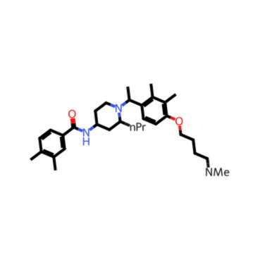 CCCC1CC(NC(=O)c2ccc(C)c(C)c2)CCN1C(C)c1ccc(OCCCCNC)c(C)c1C